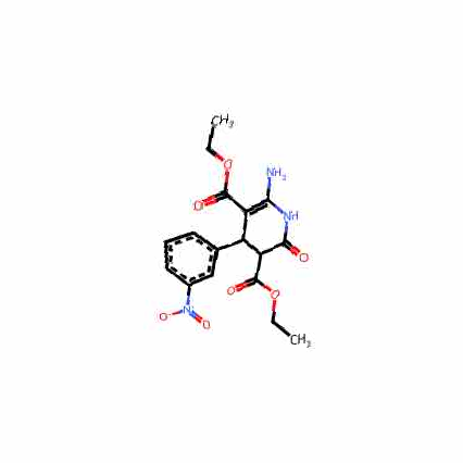 CCOC(=O)C1=C(N)NC(=O)C(C(=O)OCC)C1c1cccc([N+](=O)[O-])c1